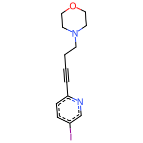 Ic1ccc(C#CCCN2CCOCC2)nc1